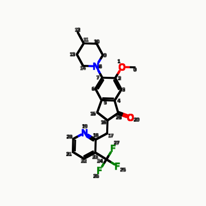 COc1cc2c(cc1N1CCC(C)CC1)CC(Cc1ncccc1C(F)(F)F)C2=O